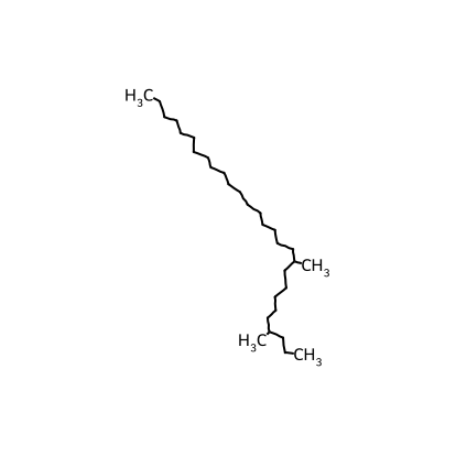 CCCCCCCCCCCCCCCCCCC(C)CCCCCC(C)CCC